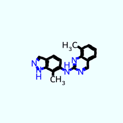 Cc1cccc2cnc(Nc3ccc4cn[nH]c4c3C)nc12